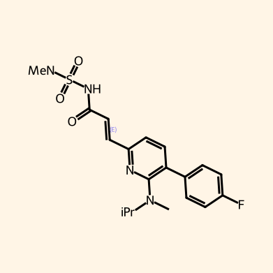 CNS(=O)(=O)NC(=O)/C=C/c1ccc(-c2ccc(F)cc2)c(N(C)C(C)C)n1